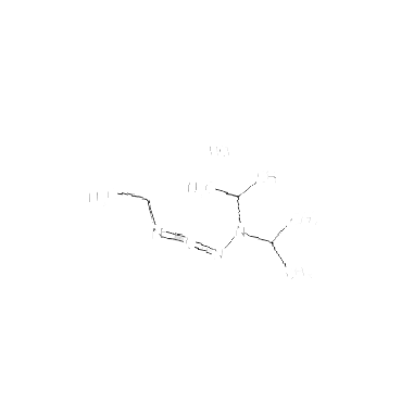 CCN=C=NN(C(C)C)C(C)C.Cl